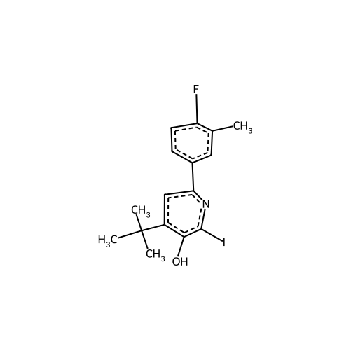 Cc1cc(-c2cc(C(C)(C)C)c(O)c(I)n2)ccc1F